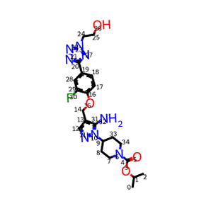 CC(C)OC(=O)N1CCC(n2ncc(COc3ccc(-c4nnn(CCO)n4)cc3F)c2N)CC1